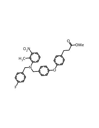 COC(=O)CCc1ccc(Oc2ccc(CN(Cc3ccc(F)cc3)c3cccc([N+](=O)[O-])c3C)cc2)cc1